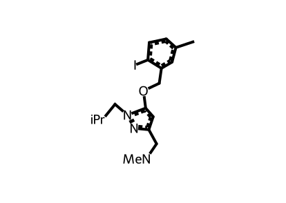 CNCc1cc(OCc2cc(C)ccc2I)n(CC(C)C)n1